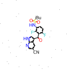 CCC(C)S(=O)(=O)Nc1ccc(F)c(C(=O)c2c[nH]c3ncc(C#N)cc23)c1F